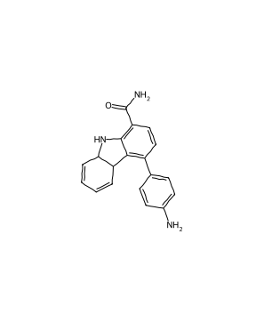 NC(=O)c1ccc(-c2ccc(N)cc2)c2c1NC1C=CC=CC21